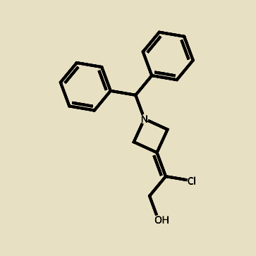 OCC(Cl)=C1CN(C(c2ccccc2)c2ccccc2)C1